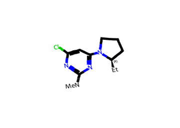 CC[C@@H]1CCCN1c1cc(Cl)nc(NC)n1